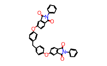 O=C1c2ccc(Oc3ccc(Cc4ccc(Oc5ccc6c(c5)C(=O)N(c5ccccc5)C6=O)cc4)cc3)cc2C(=O)N1c1ccccc1